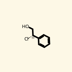 OC[C@@H](Cl)c1ccccc1